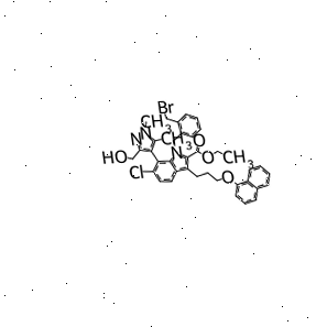 CCOC(=O)c1c(CCCOc2cccc3ccccc23)c2ccc(Cl)c(-c3c(CO)nn(C)c3C)c2n1Cc1ccccc1CBr